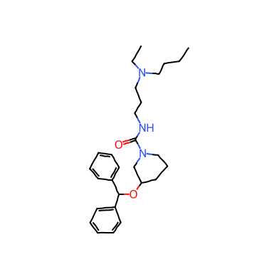 CCCCN(CC)CCCNC(=O)N1CCCC(OC(c2ccccc2)c2ccccc2)C1